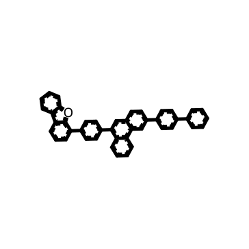 c1ccc(-c2ccc(-c3ccc4cc(-c5ccc(-c6cccc7c6oc6ccccc67)cc5)c5ccccc5c4c3)cc2)cc1